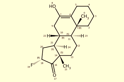 C[C@]12CCCCC1=C(O)C[C@@H]1[C@@H]2CC[C@]2(C)C(=O)[C@H](F)C[C@@H]12